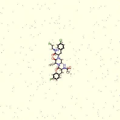 CCCC1C(=O)N(C(Cc2ccc(Cl)cc2)C(=O)NCCF)CCN1C(=O)C(Cc1ccc(F)cc1)NC(=O)C(F)(F)F